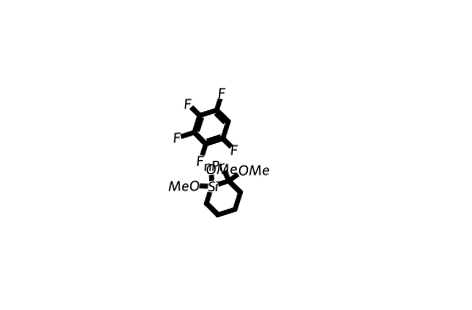 CCCC1(OC)CCCC[Si]1(OC)OC.Fc1cc(F)c(F)c(F)c1F